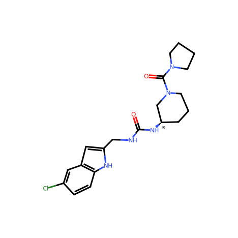 O=C(NCc1cc2cc(Cl)ccc2[nH]1)N[C@@H]1CCCN(C(=O)N2CCCC2)C1